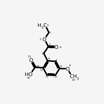 CCOC(=O)Cc1cc(OC)ccc1C(=O)O